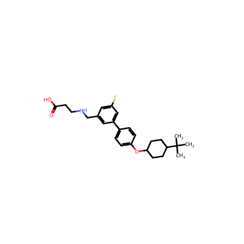 CC(C)(C)C1CCC(Oc2ccc(-c3cc(F)cc(CNCCC(=O)O)c3)cc2)CC1